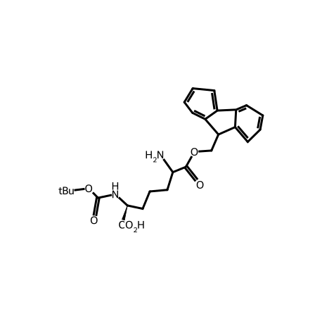 CC(C)(C)OC(=O)N[C@@H](CCCC(N)C(=O)OCC1c2ccccc2-c2ccccc21)C(=O)O